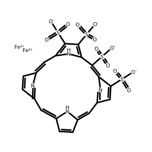 O=S(=O)([O-])C1=Cc2cc3ccc(cc4nc(cc5[nH]c(c(S(=O)(=O)[O-])c1n2)c(S(=O)(=O)[O-])c5S(=O)(=O)[O-])C=C4)[nH]3.[Fe+2].[Fe+2]